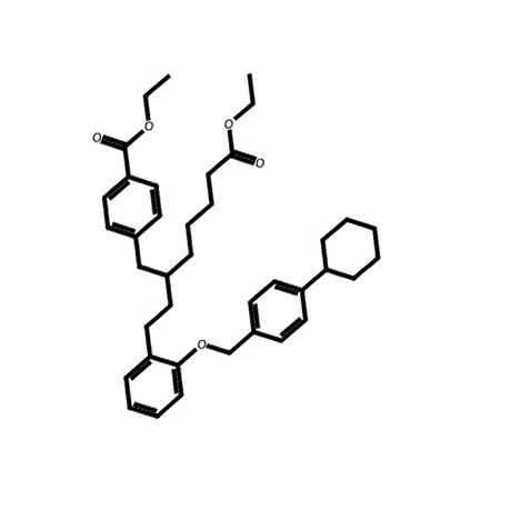 CCOC(=O)CCCCC(CCc1ccccc1OCc1ccc(C2CCCCC2)cc1)Cc1ccc(C(=O)OCC)cc1